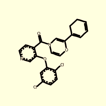 O=C(c1ccncc1Oc1cc(Cl)ccc1Cl)N1C=COC(C2=CC=CCC2)=C1